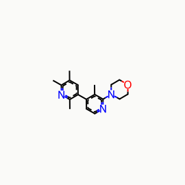 Cc1cc(-c2ccnc(N3CCOCC3)c2C)c(C)nc1C